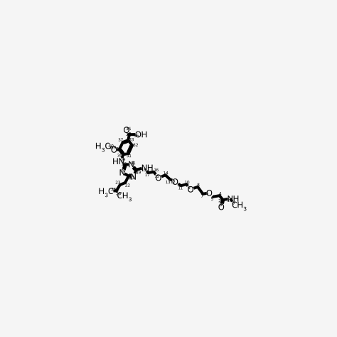 CNC(=O)CCOCCOCCOCCOCCNc1nc(CCC(C)C)nc(Nc2ccc(C(=O)O)cc2OC)n1